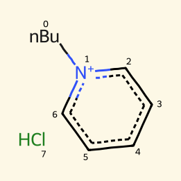 CCCC[n+]1ccccc1.Cl